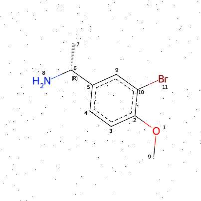 COc1ccc([C@@H](C)N)cc1Br